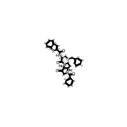 O=C(N[C@@H](CSCc1ccccc1)C(=O)N1CC[C@@H]2[C@H]1C(=O)CN2C(=O)c1ccccc1)c1cc2ccccc2s1